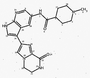 CN1CCC(C(=O)Nc2cnc3[nH]cc(-c4cc5n(c4)CCNC5=O)c3c2)CC1